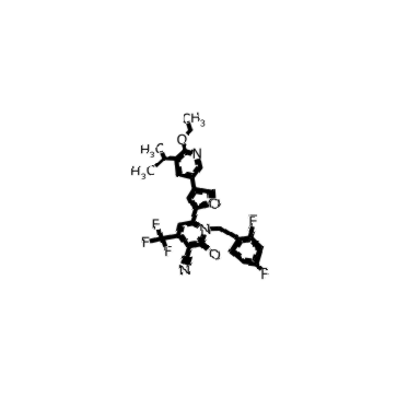 CCOc1ncc(-c2coc(-c3cc(C(F)(F)F)c(C#N)c(=O)n3Cc3ccc(F)cc3F)c2)cc1C(C)C